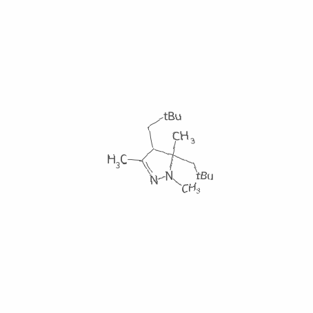 CC1=NN(C)C(C)(CC(C)(C)C)C1CC(C)(C)C